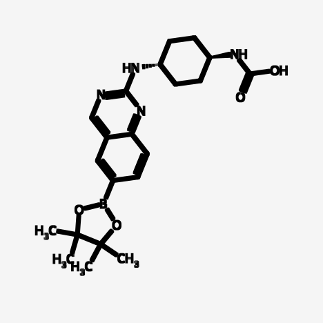 CC1(C)OB(c2ccc3nc(N[C@H]4CC[C@H](NC(=O)O)CC4)ncc3c2)OC1(C)C